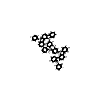 S=[SH]1(c2ccccc2)c2ccc(-n3c4ccccc4c4ccc5c(c6ccccc6n5-c5ccccc5)c43)cc2Oc2cc(-n3c4ccccc4c4ccc5c(c6ccccc6n5-c5ccccc5)c43)ccc21